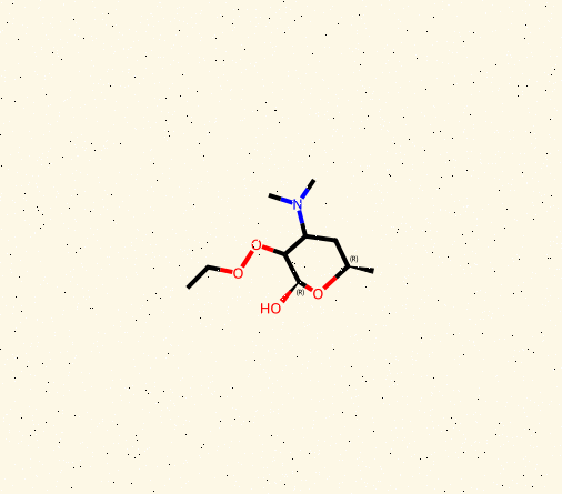 CCOOC1C(N(C)C)C[C@@H](C)O[C@H]1O